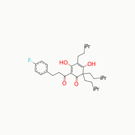 CC(C)CCC1=C(O)C(CCC(C)C)(CCC(C)C)C(=O)C(C(=O)CCc2ccc(F)cc2)=C1O